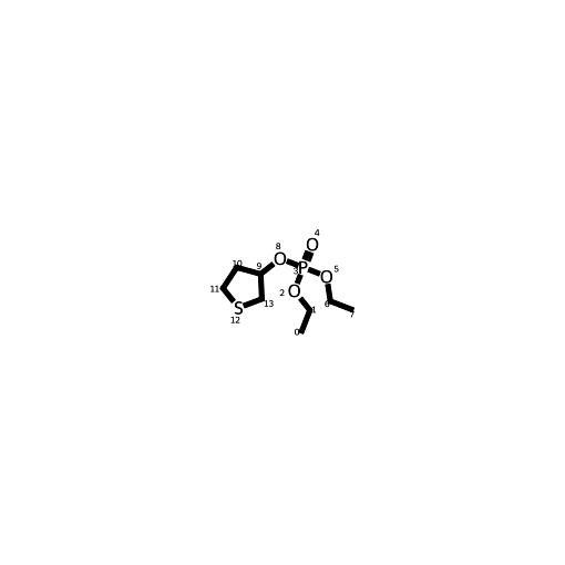 CCOP(=O)(OCC)OC1CCSC1